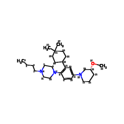 CCCCN1CCN(c2ccc(N3CCC[C@@H](OC)C3)cc2C2CCC(C)(C)CC2)CC1